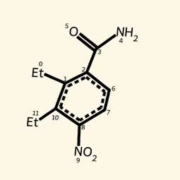 CCc1c(C(N)=O)ccc([N+](=O)[O-])c1CC